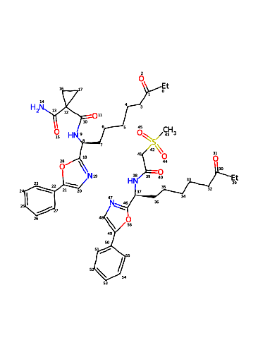 CCC(=O)CCCCC[C@H](NC(=O)C1(C(N)=O)CC1)c1ncc(-c2ccccc2)o1.CCC(=O)CCCCC[C@H](NC(=O)CS(C)(=O)=O)c1ncc(-c2ccccc2)o1